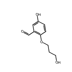 O=Cc1cc(O)ccc1OCCCO